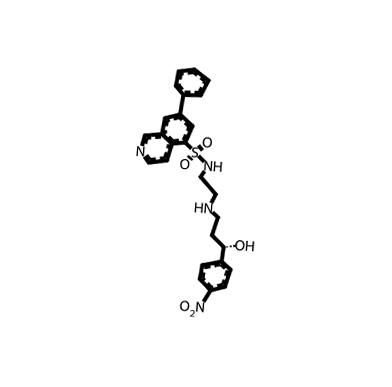 O=[N+]([O-])c1ccc([C@@H](O)CCNCCNS(=O)(=O)c2cc(-c3ccccc3)cc3cnccc23)cc1